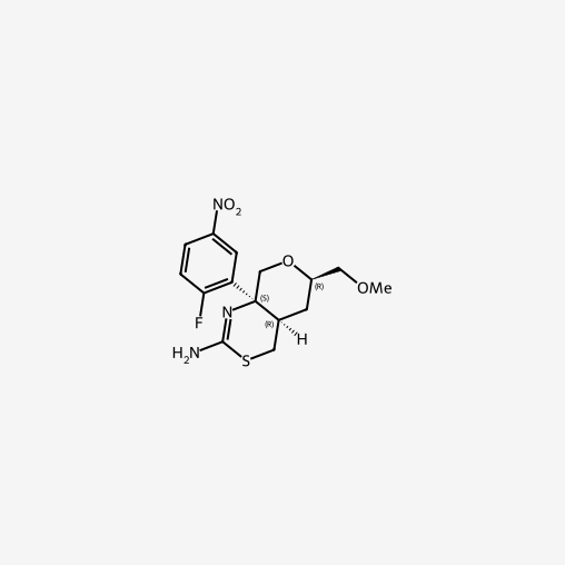 COC[C@H]1C[C@H]2CSC(N)=N[C@@]2(c2cc([N+](=O)[O-])ccc2F)CO1